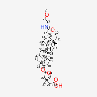 COCCNC(=O)C[C@]12CCC[C@@H]1[C@H]1CCC3[C@@]4(C)CC[C@H](OC(=O)CC(C)(C)CC(=O)O)C(C)(C)C4CC[C@@]3(C)[C@]1(C)CC2